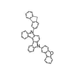 c1ccc2c(c1)Cc1ccc(-n3c4ccccc4c4c5c6ccccc6n(-c6ccc7oc8ccccc8c7c6)c5ccc43)cc1-2